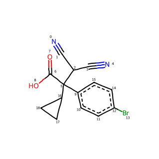 N#CC(C#N)C(C(=O)O)(c1ccc(Br)cc1)C1CC1